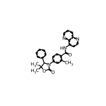 Cc1cc(N2C(=O)OC(C)(C)C2c2ccccc2)ccc1C(=O)Nc1ccnc2cccnc12